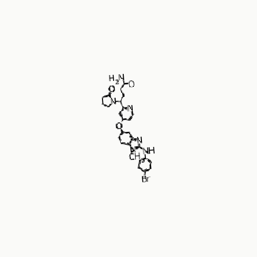 Cn1c(Nc2ccc(Br)cc2)nc2cc(Oc3ccnc(C(CCC(N)=O)N4CCCC4=O)c3)ccc21